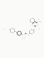 CCCC1CCC(c2ccc(NC(=S)NC3CCC(Nc4nc5c(c(N(C)C)n4)CCCC5)CC3)cc2)CC1